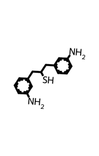 Nc1cccc(CC(S)Cc2cccc(N)c2)c1